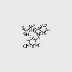 NC(=S)N/N=C\c1cn(Cc2ccc(Cl)cc2Cl)c2ccccc12